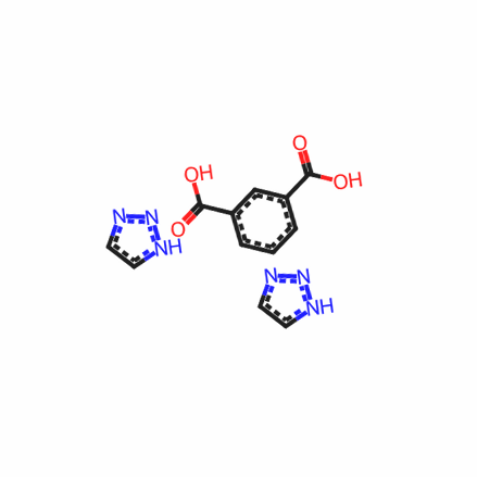 O=C(O)c1cccc(C(=O)O)c1.c1c[nH]nn1.c1c[nH]nn1